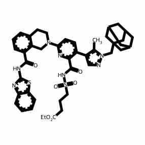 CCOC(=O)CCCS(=O)(=O)NC(=O)c1nc(N2CCc3cccc(C(=O)Nc4nc5ccccc5s4)c3C2)ccc1-c1cnn(CC23CC4CC(CC(C4)C2)C3)c1C